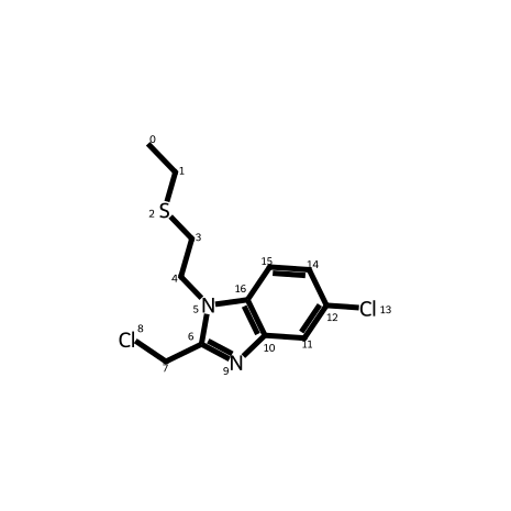 CCSCCn1c(CCl)nc2cc(Cl)ccc21